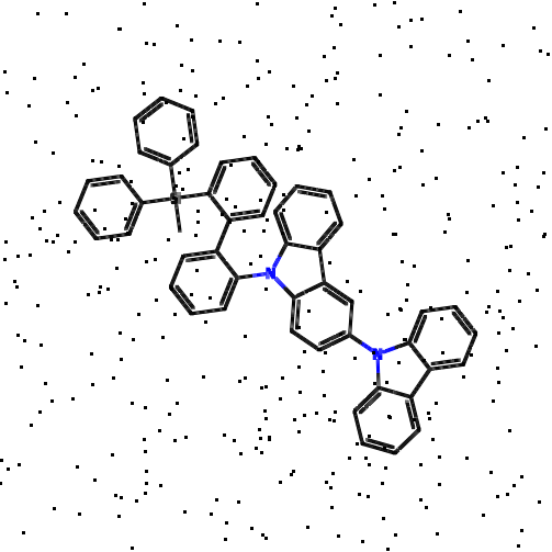 C[Si](c1ccccc1)(c1ccccc1)c1ccccc1-c1ccccc1-n1c2ccccc2c2cc(-n3c4ccccc4c4ccccc43)ccc21